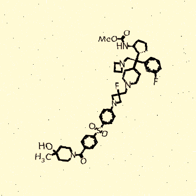 COC(=O)N[C@H]1CCC[C@@H]1[C@](CN1CCC1)(c1cccc(F)c1)C1CCN(CC2(F)CN(c3ccc(S(=O)(=O)c4ccc(C(=O)N5CCC(C)(O)CC5)cc4)cc3)C2)CC1